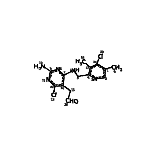 Cc1cnc(CNc2nc(N)nc(Cl)c2CC=O)c(C)c1Cl